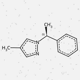 Cc1cnn([C@@H](C)c2ccccc2)c1